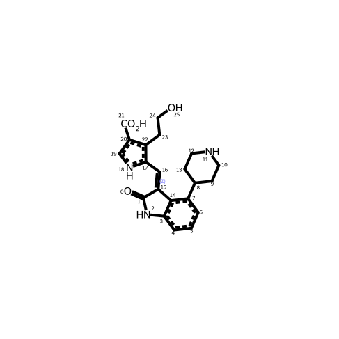 O=C1Nc2cccc(C3CCNCC3)c2/C1=C/c1[nH]cc(C(=O)O)c1CCO